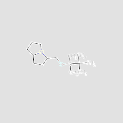 CC(C)(C)[Si](C)(C)OCC1CCC2CCCN21